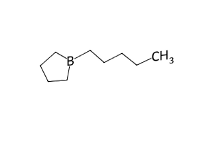 CCCCCB1CCCC1